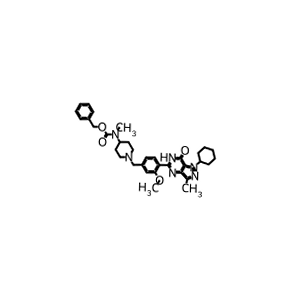 COc1cc(CN2CCC(N(C)C(=O)OCc3ccccc3)CC2)ccc1-c1nc2c(C)nn(C3CCCCC3)c2c(=O)[nH]1